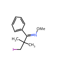 CO/N=C(\c1ccccc1)C(C)(C)CI